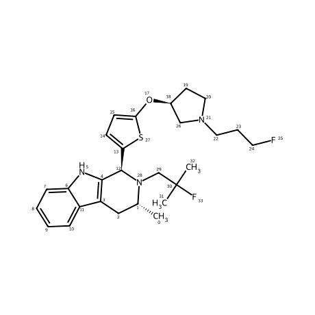 C[C@@H]1Cc2c([nH]c3ccccc23)[C@@H](c2ccc(O[C@H]3CCN(CCCF)C3)s2)N1CC(C)(C)F